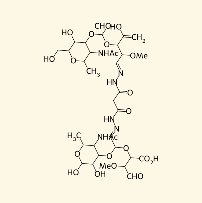 C=C(O)C(OC(C=O)OC1C(O)C(CO)OC(C)C1NC(C)=O)C(/C=N/NC(=O)CC(=O)N/N=C/C(OC(C(=O)O)C(C=O)OC)OC1C(O)C(O)OC(C)C1NC(C)=O)OC